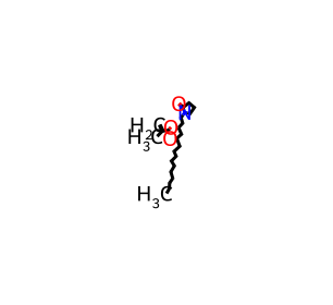 C=C(C)C(=O)OC(CCCCCCCCCCCC)CCN1CCCC1=O